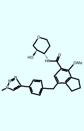 COc1c(C(=O)N[C@H]2CCOC[C@@H]2O)cc(Cc2ccc(-c3cn(C)nn3)cc2)c2c1CCC2